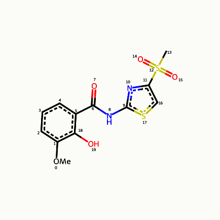 COc1cccc(C(=O)Nc2nc(S(C)(=O)=O)cs2)c1O